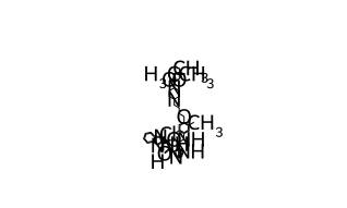 Cc1cc(NC(=O)c2[nH]cnc2C(=O)Nc2nc3ccccc3[nH]2)c(Cl)cc1OCCCN1CCN(C(=O)OC(C)(C)C)CC1